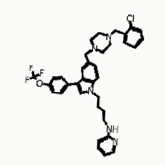 FC(F)(F)Oc1ccc(-c2cn(CCCCNc3ccccn3)c3ccc(CN4CCN(Cc5ccccc5Cl)CC4)cc23)cc1